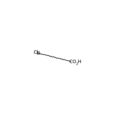 C[Si](C)(Cl)CCCCCCCCCCCCCCCCCCCCCCCCCCCCCC(=O)O